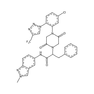 Cn1cc2cc(NC(=O)C(Cc3ccccc3)N3CC(=O)N(c4cc(Cl)ccc4-n4cc(C(F)(F)F)nn4)CC3=O)ccc2n1